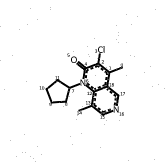 Cc1c(Cl)c(=O)n(C2CCCC2)c2c(C)cncc12